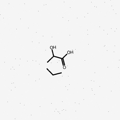 CC(O)C(=O)O.CCC